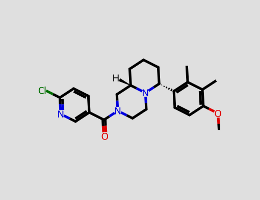 COc1ccc([C@H]2CCC[C@H]3CN(C(=O)c4ccc(Cl)nc4)CCN32)c(C)c1C